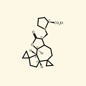 CCOC(=O)[C@@H]1CCCN1C[C@@H]1C(=O)O[C@H]2C1CCC1(CC1)[C@@H]1CCC3(CC3)[C@@H]12